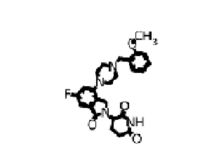 COc1ccccc1CN1CCN(c2cc(F)cc3c2CN(C2CCC(=O)NC2=O)C3=O)CC1